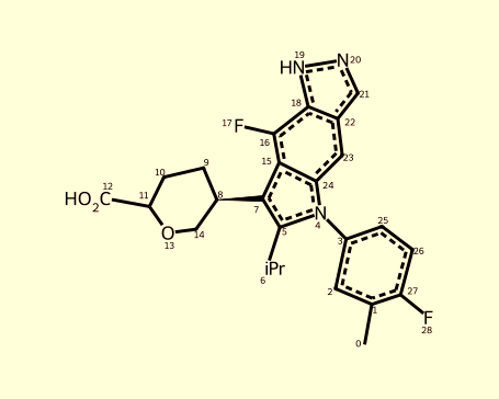 Cc1cc(-n2c(C(C)C)c([C@@H]3CCC(C(=O)O)OC3)c3c(F)c4[nH]ncc4cc32)ccc1F